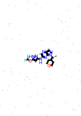 C[C@H](C1CCOCC1)n1ncc2ncc(Nc3cc(OC(F)F)[nH]n3)nc21